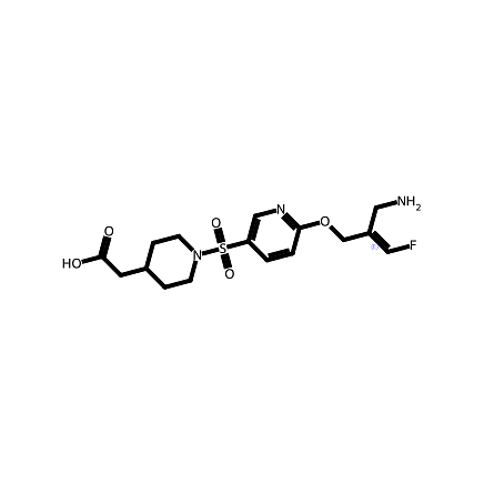 NC/C(=C\F)COc1ccc(S(=O)(=O)N2CCC(CC(=O)O)CC2)cn1